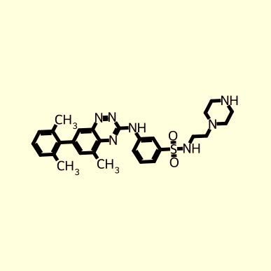 Cc1cccc(C)c1-c1cc(C)c2nc(Nc3cccc(S(=O)(=O)NCCN4CCNCC4)c3)nnc2c1